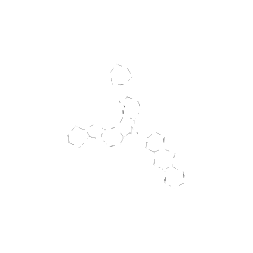 c1ccc(-c2ccc3c(n2)c2c4sc5ccccc5c4ccc2n3-c2ccc3cc4ccccc4cc3c2)cc1